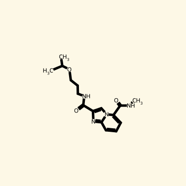 CNC(=O)c1cccc2nc(C(=O)NCCCOC(C)C)cn12